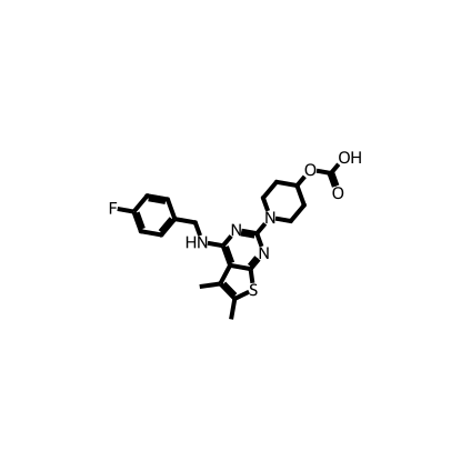 Cc1sc2nc(N3CCC(OC(=O)O)CC3)nc(NCc3ccc(F)cc3)c2c1C